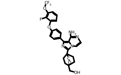 Nc1nccn2c(C34CCC(CO)(CC3)OC4)nc(-c3ccc(Oc4cccc(OC(F)(F)F)c4F)cc3)c12